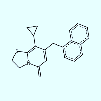 C=C1C=C(Cc2cccc3ccccc23)C(C2CC2)=C2SCCN12